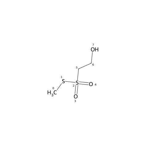 CSS(=O)(=O)CCO